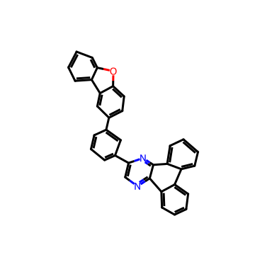 c1cc(-c2ccc3oc4ccccc4c3c2)cc(-c2cnc3c4ccccc4c4ccccc4c3n2)c1